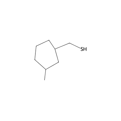 CC1CCCC(CS)C1